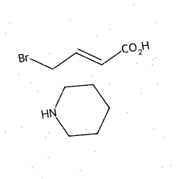 C1CCNCC1.O=C(O)C=CCBr